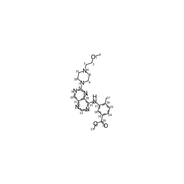 COCCN1CCN(c2ncc3ncnc(Nc4cc(C(=O)OC)ccc4C)c3n2)CC1